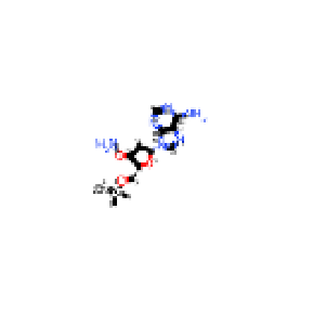 CC(C)(C)[Si](C)(C)OC[C@H]1O[C@@H](n2cnc3c(N)ncnc32)CC1ON